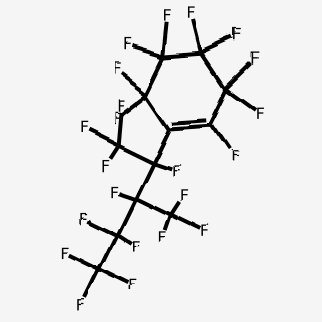 FC1=C(C(F)(C(F)(F)F)C(F)(C(F)(F)F)C(F)(F)C(F)(F)F)C(F)(F)C(F)(F)C(F)(F)C1(F)F